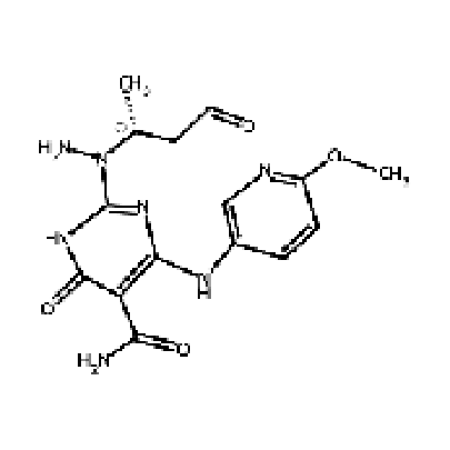 COc1ccc(Nc2nc(N(N)[C@H](C)CC=O)[nH]c(=O)c2C(N)=O)cn1